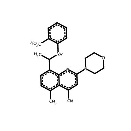 Cc1ccc(C(C)Nc2ccccc2C(=O)O)c2nc(N3CCOCC3)cc(C#N)c12